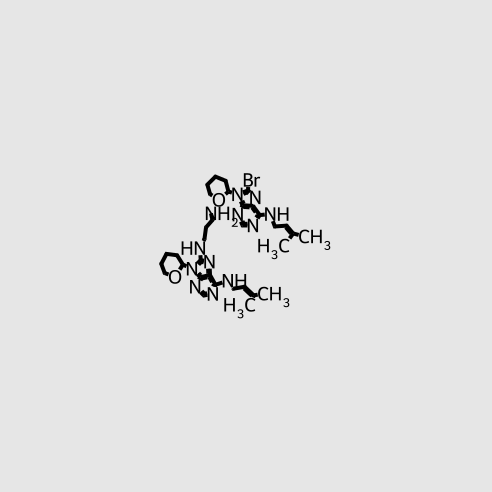 CC(C)=CCNc1ncnc2c1nc(Br)n2C1CCCCO1.CC(C)=CCNc1ncnc2c1nc(NCCCN)n2C1CCCCO1